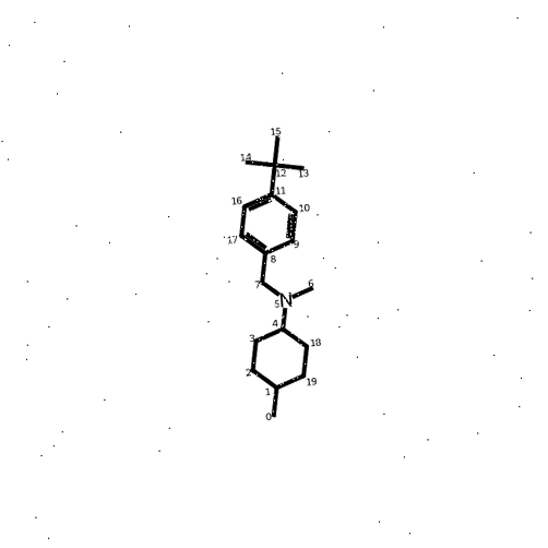 CC1CCC(N(C)Cc2ccc(C(C)(C)C)cc2)CC1